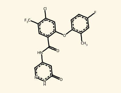 Cc1cc(F)ccc1Oc1cc(Cl)c(C(F)(F)F)cc1C(=O)Nc1cn[nH]c(=O)c1